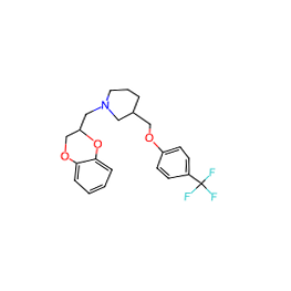 FC(F)(F)c1ccc(OCC2CCCN(CC3COc4ccccc4O3)C2)cc1